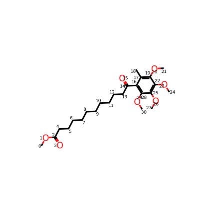 COC(=O)CCCCCCCCCCC(=O)c1c(C)c(OC)c(OC)c(OC)c1OC